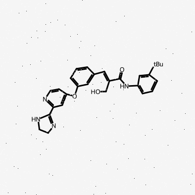 CC(C)(C)c1cccc(NC(=O)C(=Cc2cccc(Oc3ccnc(C4=NCCN4)c3)c2)CO)c1